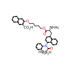 CC(=O)N[C@@H](Cc1ccc(N(C(=O)C(=O)O)c2ccccc2C(=O)O)c2ccccc12)C(=O)OCCCCCOc1cc2ccccc2cc1C(=O)O